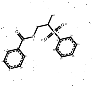 CC(COC(=O)c1ccccc1)S(=O)(=O)c1ccccc1